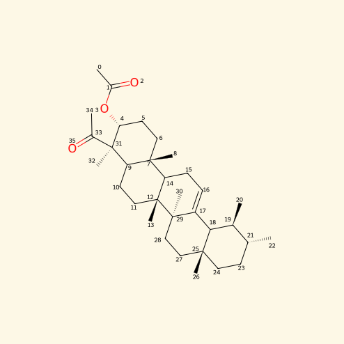 CC(=O)O[C@@H]1CC[C@@]2(C)C(CC[C@]3(C)C2CC=C2C4[C@@H](C)[C@H](C)CC[C@]4(C)CC[C@]23C)[C@@]1(C)C(C)=O